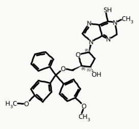 COc1ccc(C(OC[C@H]2O[C@@H](n3cnc4c3=NCN(C)C=4S)C[C@@H]2O)(c2ccccc2)c2ccc(OC)cc2)cc1